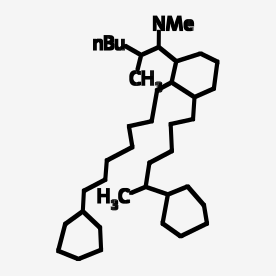 CCCCC(C)C(NC)C1CCCC(CCCCC(C)C2CCCCC2)C1CCCCCCCC1CCCCC1